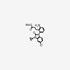 COC(=O)CCc1c(N)cccc1-n1c(=O)n(C2CC2)c2cc(Cl)ccc21